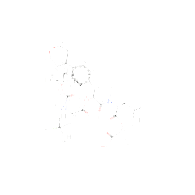 CC(C)C[C@@H](C(=O)O[C@H](C)C(=O)O)N(C)C(=O)C(Cc1ccc(C2CCOCC2)cc1)OC(=O)[C@H](CC(C)(C)F)N(C)C(=O)OC(C)(C)C